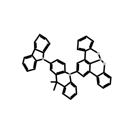 CC1(C)c2ccccc2N(c2cc3c4c(c2)-c2ccccc2OB4Oc2ccccc2-3)c2ccc(-n3c4ccccc4c4ccccc43)cc21